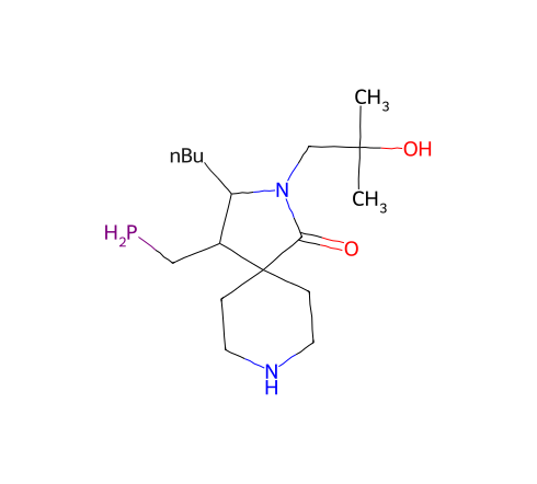 CCCCC1C(CP)C2(CCNCC2)C(=O)N1CC(C)(C)O